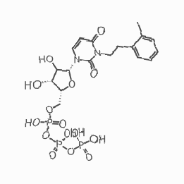 Cc1ccccc1CCn1c(=O)ccn([C@@H]2O[C@H](COP(=O)(O)OP(=O)(O)OP(=O)(O)O)[C@H](O)C2O)c1=O